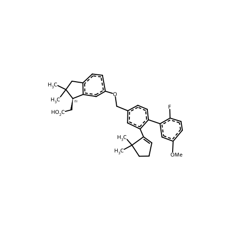 COc1ccc(F)c(-c2ccc(COc3ccc4c(c3)[C@@H](CC(=O)O)C(C)(C)C4)cc2C2=CCCC2(C)C)c1